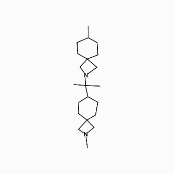 CC1CCC2(CC1)CN(C(C)(C)C1CCC3(CC1)CN(C)C3)C2